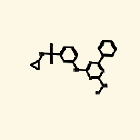 CC(C)Nc1nc(Nc2cccc(S(=O)(=O)NC3CC3)c2)nc(-c2ccccc2)n1